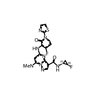 CNc1cc(Nc2c(F)ccn(-c3nccs3)c2=O)nc2c(C(=O)N[C@H]3C[C@H]3F)cnn12